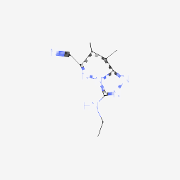 CCNc1nnc2c(C)c(C)c(C#N)nn12